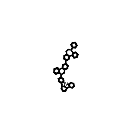 c1ccc(C2CCc3ccc(-c4ccc5c(c4)-c4ccccc4C(c4ccc6c7cccc8c9ccccc9n(c6c4)c87)C5)cc3-c3ccccc32)cc1